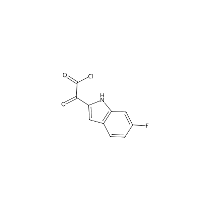 O=C(Cl)C(=O)c1cc2ccc(F)cc2[nH]1